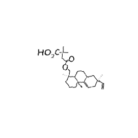 C=C[C@@]1(C)CC=C2C(CCC3[C@](C)(COC(=O)CC(C)(C)C(=O)O)CCC[C@@]23C)C1